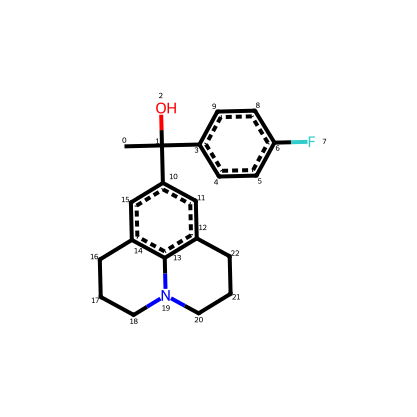 CC(O)(c1ccc(F)cc1)c1cc2c3c(c1)CCCN3CCC2